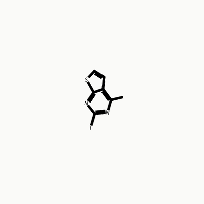 Cc1nc(I)nc2sccc12